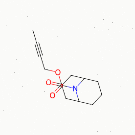 CC#CCOC(=O)N1C2CCCC1CC(=O)C2